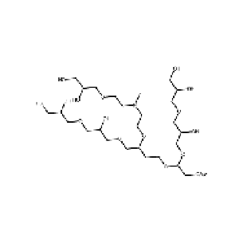 COCC(OCCC(COCC(O)COCC(O)CO)OCCN(C)CCOCC(O)CO)OCC(O)COCC(O)CO